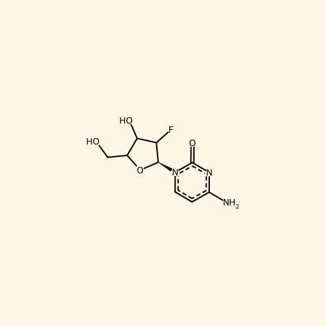 Nc1ccn([C@H]2OC(CO)C(O)C2F)c(=O)n1